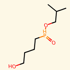 CC(C)CO[PH](=O)CCCCO